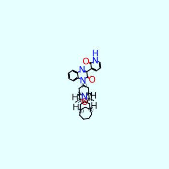 C[C@@H]1O[C@H](C)[C@H]2C[C@@H](n3c(=O)c(-c4ccc[nH]c4=O)nc4ccccc43)C[C@@H]1N2[C@@H]1C[C@@H]2CCCC[C@@H](C2)C1